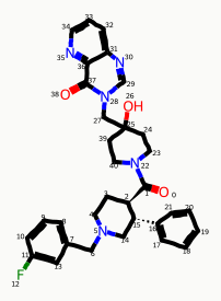 O=C([C@@H]1CCN(Cc2cccc(F)c2)C[C@H]1c1ccccc1)N1CCC(O)(Cn2cnc3cccnc3c2=O)CC1